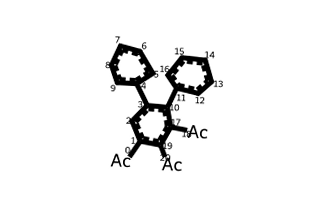 CC(=O)c1cc(-c2ccccc2)c(-c2ccccc2)c(C(C)=O)c1C(C)=O